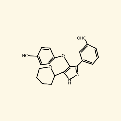 N#Cc1ccc(Oc2c(-c3cccc(C=O)c3)n[nH]c2C2CCCCO2)cc1